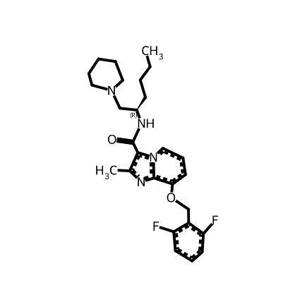 CCCC[C@H](CN1CCCCC1)NC(=O)c1c(C)nc2c(OCc3c(F)cccc3F)cccn12